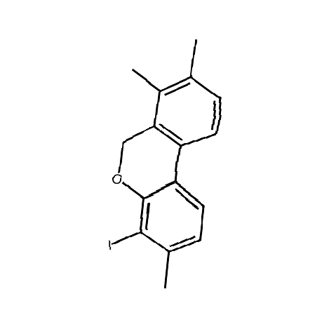 Cc1ccc2c(c1C)COc1c-2ccc(C)c1I